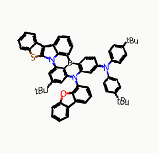 CC(C)(C)c1ccc(N(c2ccc(C(C)(C)C)cc2)c2ccc3c(c2)N(c2cccc4c2oc2ccccc24)c2cc(C(C)(C)C)cc4c2B3c2cccc3c5c6ccccc6sc5n-4c23)cc1